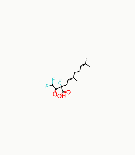 CC(C)=CCC/C(C)=C/CC(F)(C(=O)O)C(=O)C(F)F